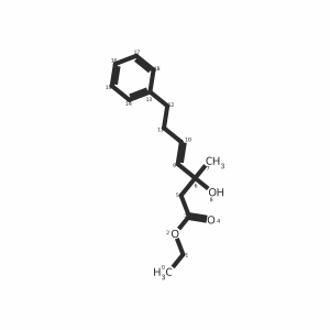 CCOC(=O)CC(C)(O)C=CCCc1ccccc1